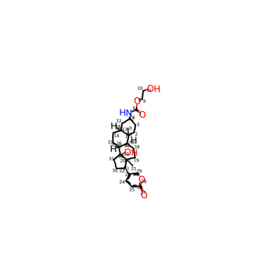 C[C@]12CC[C@H](NC(=O)OCCO)C[C@H]1CC[C@@H]1[C@@H]2CC[C@]2(C)[C@@H](c3ccc(=O)oc3)CC[C@]12O